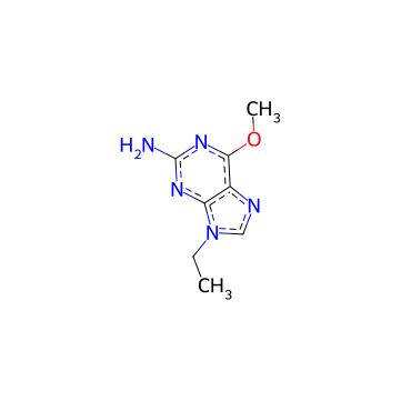 CCn1cnc2c(OC)nc(N)nc21